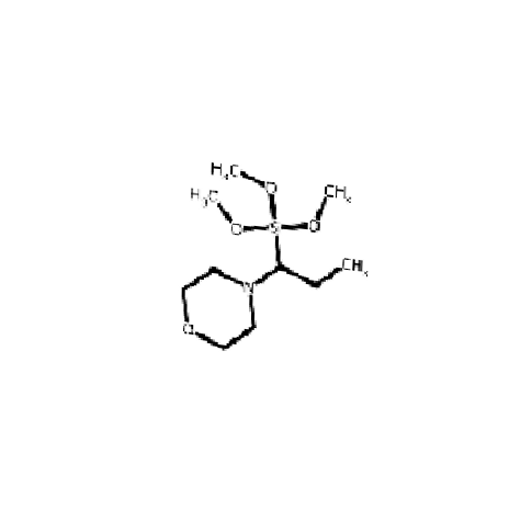 CCC(N1CCOCC1)[Si](OC)(OC)OC